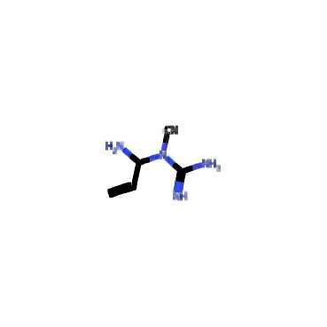 C=CC(N)N(C#N)C(=N)N